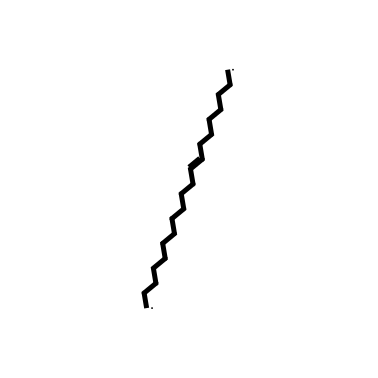 [CH2]CCCCCCC=CCCCCCCCCCC[CH2]